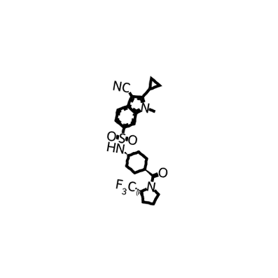 Cn1c(C2CC2)c(C#N)c2ccc(S(=O)(=O)N[C@H]3CC[C@H](C(=O)N4CCC[C@@H]4C(F)(F)F)CC3)cc21